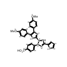 COc1ccc(-c2nc(N3NC(c4cccs4)=NN3c3ccc(C(=O)O)cc3)sc2-c2ccc(OC)cc2)cc1